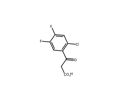 O=C(O)CC(=O)c1cc(F)c(F)cc1Cl